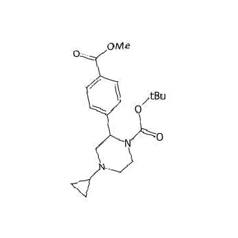 COC(=O)c1ccc(C2CN(C3CC3)CCN2C(=O)OC(C)(C)C)cc1